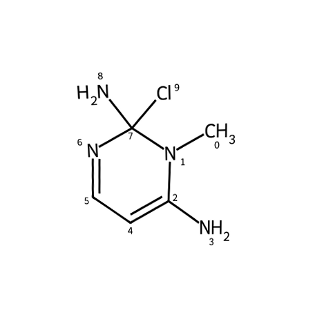 CN1C(N)=CC=NC1(N)Cl